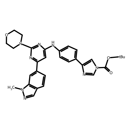 Cn1ncc2ccc(-c3cc(Nc4ccc(-c5cn(C(=O)OC(C)(C)C)cn5)cc4)nc(N4CCOCC4)n3)cc21